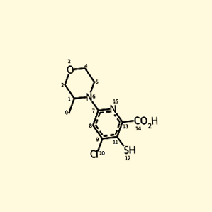 CC1COCCN1c1cc(Cl)c(S)c(C(=O)O)n1